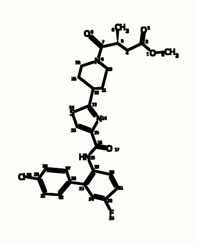 COC(=O)C[C@@H](C)C(=O)N1CCC(c2nc(C(=O)Nc3ccc(F)cc3-c3ccc(Cl)cc3)cs2)CC1